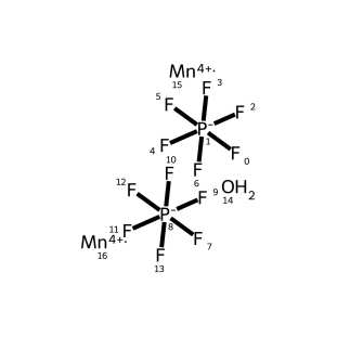 F[P-](F)(F)(F)(F)F.F[P-](F)(F)(F)(F)F.O.[Mn+4].[Mn+4]